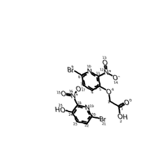 O=C(O)COc1ccc(Br)nc1[N+](=O)[O-].O=[N+]([O-])c1nc(Br)ccc1O